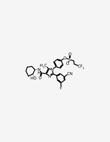 Cc1c(C(=O)N[C@H]2CCCC[C@H]2O)nc(-c2cc(F)cc(C#N)c2)n1-c1ccc(OS(=O)(=O)CCC(F)(F)F)cc1